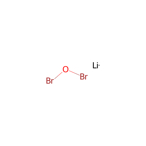 BrOBr.[Li]